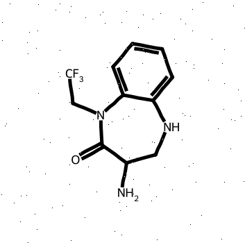 NC1CNc2ccccc2N(CC(F)(F)F)C1=O